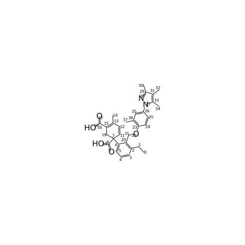 CCc1cccc(C2(C(=O)O)C=CC(C)=C(C(=O)O)C2)c1COc1ccc(-n2nc(C)c(C)c2C)cc1C